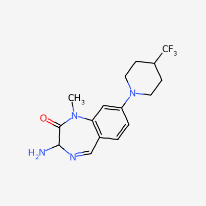 CN1C(=O)C(N)N=Cc2ccc(N3CCC(C(F)(F)F)CC3)cc21